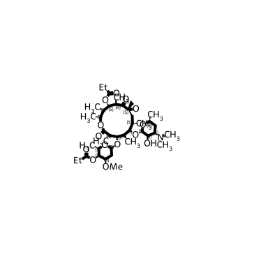 CCC(=O)O[C@H]1[C@H](C)O[C@@H](O[C@H]2[C@H](C)[C@@H](O[C@@H]3O[C@H](C)C[C@H](N(C)C)[C@H]3O)[C@@H](C)C[C@]3(CO3)C(=O)[C@H](C)[C@@H](OC(=O)CC)[C@@H](C)[C@@H](C)OC(=O)[C@@H]2C)C[C@@H]1OC